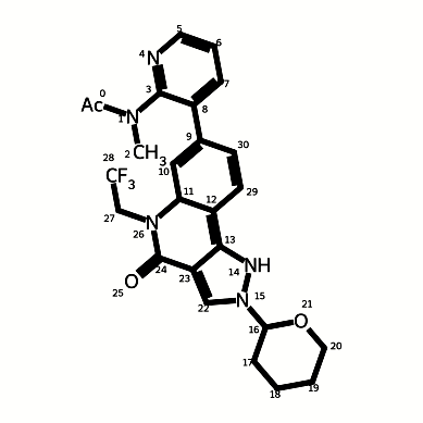 CC(=O)N(C)c1ncccc1C1=CC2C(=C3NN(C4CCCCO4)C=C3C(=O)N2CC(F)(F)F)C=C1